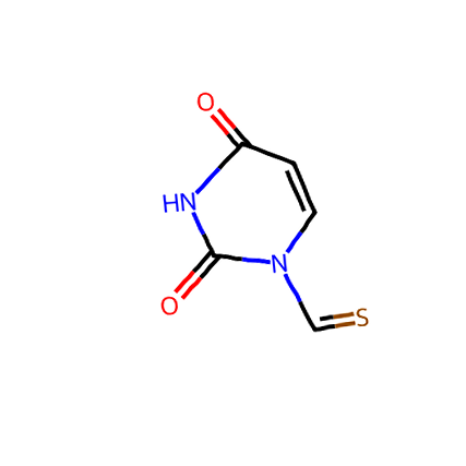 O=c1ccn(C=S)c(=O)[nH]1